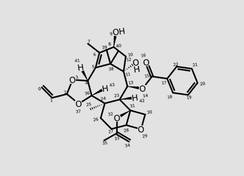 C=CC1O[C@@H]2C3=C(C)[C@@H](O)C[C@@](O)([C@@H](OC(=O)c4ccccc4)[C@H]4[C@@](C)(CCC5OC[C@]54OC(=C)C)[C@@H]2O1)C3(C)C